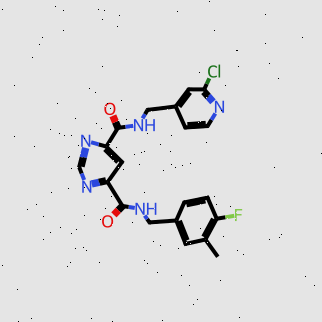 Cc1cc(CNC(=O)c2cc(C(=O)NCc3ccnc(Cl)c3)ncn2)ccc1F